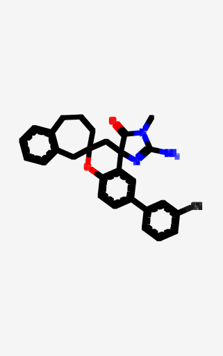 CN1C(=O)C2(CC3(CCCc4ccccc4C3)Oc3ccc(-c4cccc(C#N)c4)cc32)N=C1N